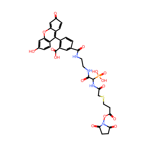 O=C(CSCCC(=O)ON1C(=O)CCC1=O)NC(C(=O)NCCNC(=O)c1ccc(-c2c3ccc(=O)cc-3oc3cc(O)ccc23)c(C(=O)O)c1)P(=O)(O)O